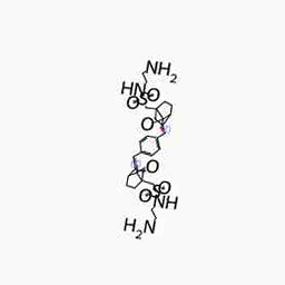 CC1(C)C2CCC1(CS(=O)(=O)NCCN)C(=O)/C2=C\c1ccc(/C=C2\C(=O)C3(CS(=O)(=O)NCCN)CCC2C3(C)C)cc1